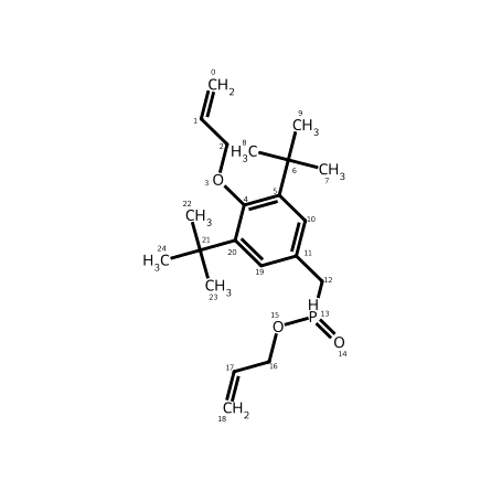 C=CCOc1c(C(C)(C)C)cc(C[PH](=O)OCC=C)cc1C(C)(C)C